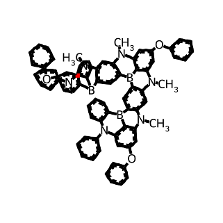 CN1c2cc3c(cc2B2c4cc5c(cc4N(C)c4cc(Oc6ccccc6)cc1c42)N(C)c1cc(Oc2ccccc2)cc2c1B5c1ccccc1N2c1ccccc1)B1c2ccccc2N(c2ccccc2)c2cc(Oc4ccccc4)cc(c21)N3C